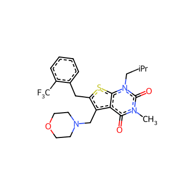 CC(C)Cn1c(=O)n(C)c(=O)c2c(CN3CCOCC3)c(Cc3ccccc3C(F)(F)F)sc21